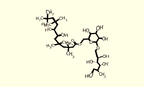 CC(CO)[C@@H](O)[C@H](O)[C@H](O)COC1OC(COC(=O)CC(C)(C)CC(C)(C)CC(O)C(O)CC(C)(C)CC(C)(C)C)C(O)C(O)C1O